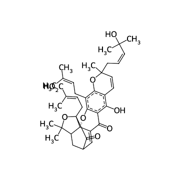 CC(C)=CCc1c2c(c(O)c3c1O[C@]14C(=CC5CC1C(C)(C)OC4(C/C=C(\C)C(=O)O)C5=O)C3=O)C=CC(C)(C/C=C\C(C)(C)O)O2